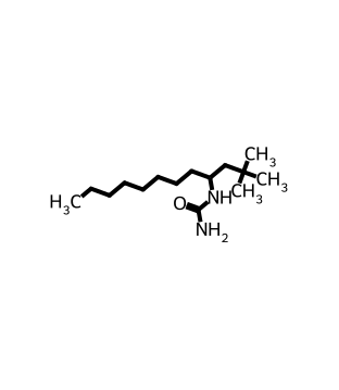 CCCCCCCCC(CC(C)(C)C)NC(N)=O